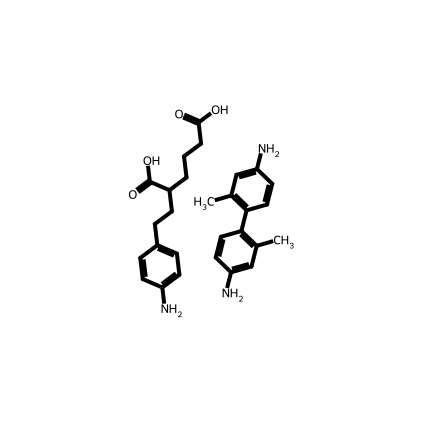 Cc1cc(N)ccc1-c1ccc(N)cc1C.Nc1ccc(CCC(CCCC(=O)O)C(=O)O)cc1